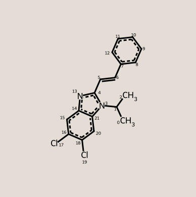 CC(C)n1c(/C=C/c2ccccc2)nc2cc(Cl)c(Cl)cc21